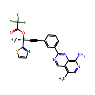 Cc1cnc(N)c2nc(-c3cccc(C#C[C@@](C)(OC(=O)C(F)(F)F)c4nccs4)c3)ncc12